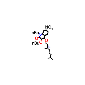 CCCCOc1c(OC/C=C(\C)CCC=C(C)C)c2ccc([N+](=O)[O-])cc2n(CCCC)c1=O